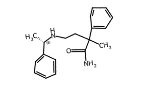 C[C@H](NCCC(C)(C(N)=O)c1ccccc1)c1ccccc1